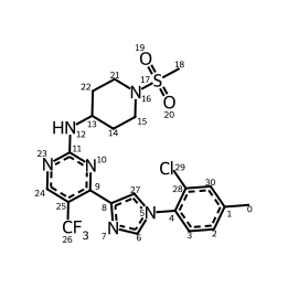 Cc1ccc(-n2cnc(-c3nc(NC4CCN(S(C)(=O)=O)CC4)ncc3C(F)(F)F)c2)c(Cl)c1